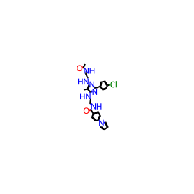 CC(=O)NCCNc1nc(-c2ccc(Cl)cc2)nc(NCCNC(=O)c2ccc(-n3cccc3)cc2)c1C